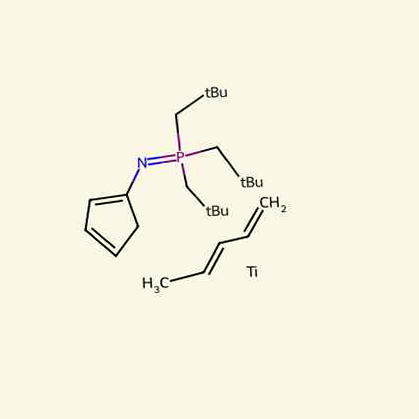 C=CC=CC.CC(C)(C)CP(CC(C)(C)C)(CC(C)(C)C)=NC1=CC=CC1.[Ti]